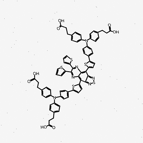 O=C(O)CCc1ccc(N(c2ccc(CCC(=O)O)cc2)c2ccc(-c3ccc(-c4c5nsnc5c(-c5ccc(-c6ccc(N(c7ccc(CCC(=O)O)cc7)c7ccc(CCC(=O)O)cc7)cc6)s5)c5nc(-c6cccs6)c(-c6cccs6)nc45)s3)cc2)cc1